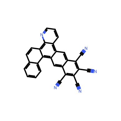 N#Cc1c(C#N)c(C#N)c2cc3c(cc2c1C#N)c1cccnc1c1ccc2ccccc2c31